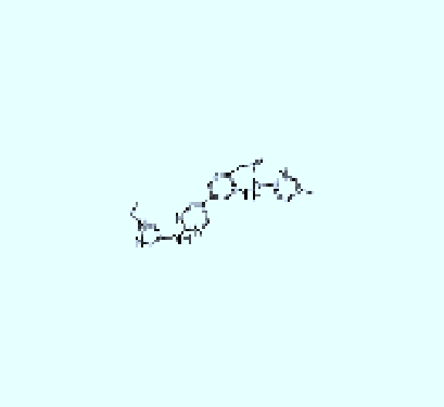 C=C(Cc1ccc(-c2cnc(Nc3cnn(CC)c3)nc2)cc1F)Nc1ccc(C)cn1